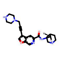 O=C(N[C@H]1CN2CCC1CC2)c1cc2c(C#CCN3CCNCC3)coc2cn1